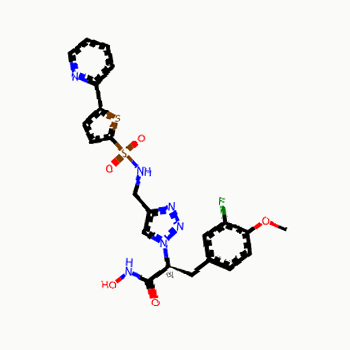 COc1ccc(C[C@@H](C(=O)NO)n2cc(CNS(=O)(=O)c3ccc(-c4ccccn4)s3)nn2)cc1F